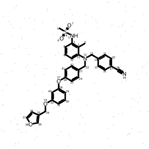 Cc1c(NS(C)(=O)=O)cccc1N(Cc1ccc(C#N)cc1)Cc1ccc(Oc2cccc(OCc3ccoc3)c2)cc1